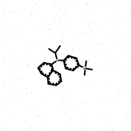 CC(C)N(c1ccc([Si](C)(C)C)cc1)c1cccc2ccccc12